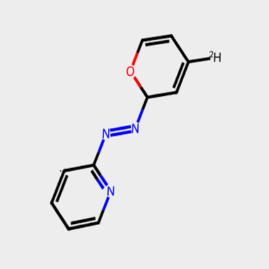 [2H]C1=CC(N=Nc2[c]cccn2)OC=C1